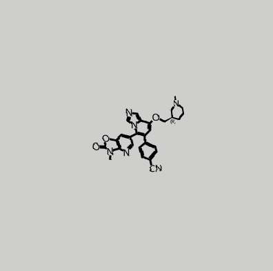 CN1CCC[C@@H](COc2cc(-c3ccc(C#N)cc3)c(-c3cnc4c(c3)oc(=O)n4C)n3cncc23)C1